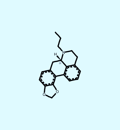 CCCN1CCc2cccc3c2[C@@H]1Cc1ccc2c(c1-3)OCO2